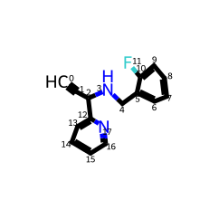 C#CC(NCc1ccccc1F)c1ccccn1